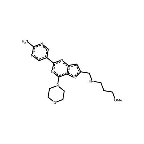 COCCCNCc1cc2nc(-c3cnc(N)nc3)nc(N3CCOCC3)c2s1